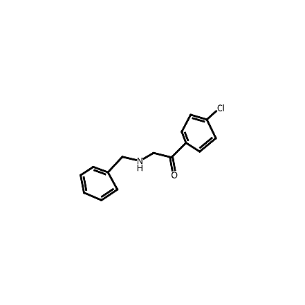 O=C(CNCc1ccccc1)c1ccc(Cl)cc1